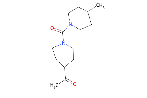 CC(=O)C1CCN(C(=O)N2CCC(C)CC2)CC1